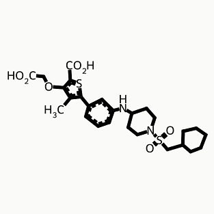 Cc1c(-c2cccc(NC3CCN(S(=O)(=O)CC4CCCCC4)CC3)c2)sc(C(=O)O)c1OCC(=O)O